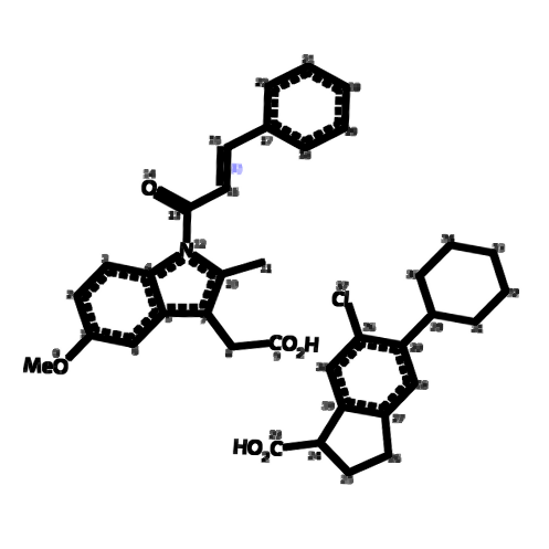 COc1ccc2c(c1)c(CC(=O)O)c(C)n2C(=O)/C=C/c1ccccc1.O=C(O)C1CCc2cc(C3CCCCC3)c(Cl)cc21